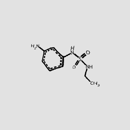 CCNS(=O)(=O)Nc1cccc(N)c1